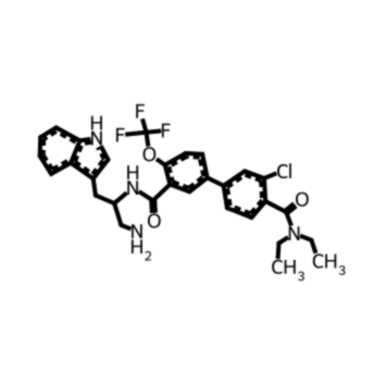 CCN(CC)C(=O)c1ccc(-c2ccc(OC(F)(F)F)c(C(=O)NC(CN)Cc3c[nH]c4ccccc34)c2)cc1Cl